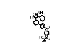 NC1ONC(c2cccc(-c3ccc(C(=O)N4CCN(C(=O)C5(O)CC5)CC4)cc3)c2)C1C1CCCCCC1